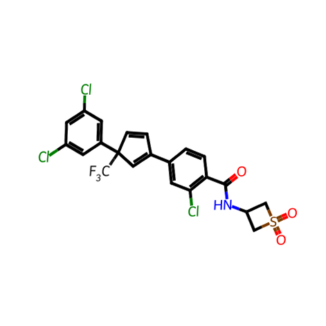 O=C(NC1CS(=O)(=O)C1)c1ccc(C2=CC(c3cc(Cl)cc(Cl)c3)(C(F)(F)F)C=C2)cc1Cl